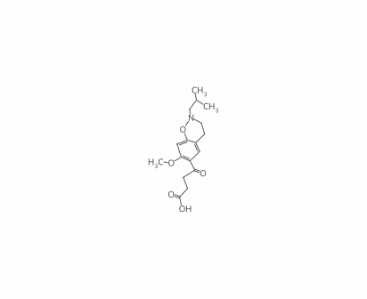 COc1cc2c(cc1C(=O)CCC(=O)O)CCN(CC(C)C)O2